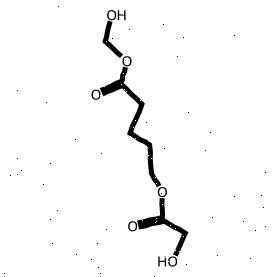 O=C(CO)OCCCCC(=O)OCO